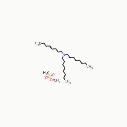 CCCCCCCCN(CCCCCCCC)CCCCCCCC.COS(C)(=O)=O